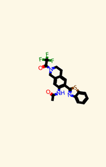 CC(=O)Nc1cc2c(cc1-c1nc3ccccc3s1)CCN(C(=O)C(F)(F)F)C2